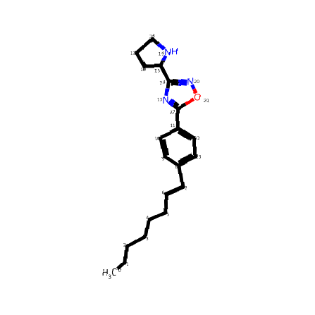 CCCCCCCCc1ccc(-c2nc(C3CCCN3)no2)cc1